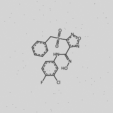 O=S(=O)(Cc1ccccc1)c1nonc1/C(=N/O)Nc1ccc(F)c(Cl)c1